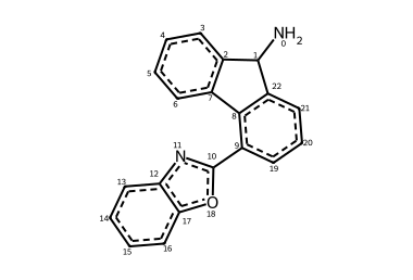 NC1c2ccccc2-c2c(-c3nc4ccccc4o3)cccc21